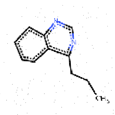 CCCc1ncnc2ccccc12